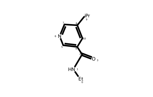 CCNC(=O)c1cncc(C(C)C)c1